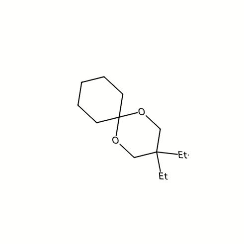 C[CH]C1(CC)COC2(CCCCC2)OC1